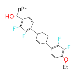 CCCC(O)c1ccc(C2C=CC(c3ccc(OCC)c(F)c3F)CC2)c(F)c1F